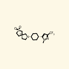 Cn1nc(C(F)(F)F)cc1[C@H]1CC[C@@H](N2CC[C@]3(CCS(=O)(=O)C3)C2)CC1